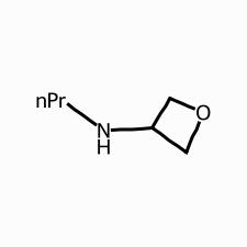 CCCNC1COC1